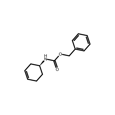 O=C(N[C@@H]1CC=CCC1)OCc1ccccc1